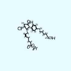 CC(C)OC(=O)CCC/C=C\C[C@@H]1[C@@H](c2ccc(CCCCCCO)cc2)[C@H](O)C[C@H]1Cl